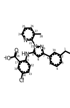 CCc1cccc(-c2cc(Nc3ccc(Cl)cc3C(=O)O)n(-c3ncccc3C)n2)c1